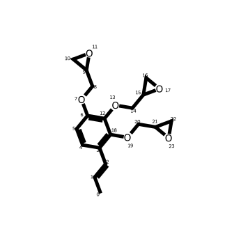 CC=Cc1ccc(OCC2CO2)c(OCC2CO2)c1OCC1CO1